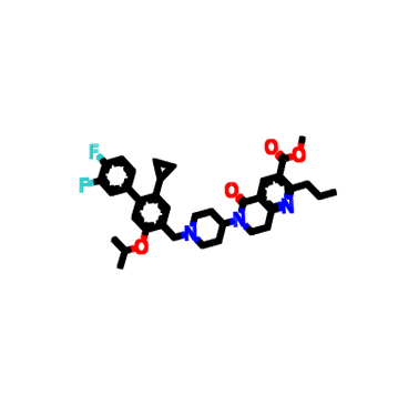 CCCc1nc2c(cc1C(=O)OC)C(=O)N(C1CCN(Cc3cc(C4CC4)c(-c4ccc(F)c(F)c4)cc3OC(C)C)CC1)CC2